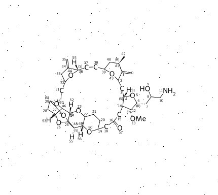 C=C1C2C[C@@H]3O[C@H](CC(O)CN)[C@H](OC)C3CC(=O)CC3CCC4O[C@@H]5C6O[C@@H]7C[C@@](CCC8CC(=C)[C@H](CCC(C[C@H]1C)O2)O8)(OC57)O[C@H]6[C@H]4O3